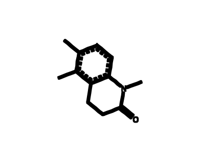 Cc1[c]cc2c(c1C)CCC(=O)N2C